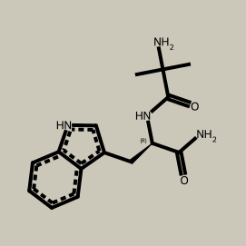 CC(C)(N)C(=O)N[C@H](Cc1c[nH]c2ccccc12)C(N)=O